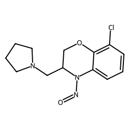 O=NN1c2cccc(Cl)c2OCC1CN1CCCC1